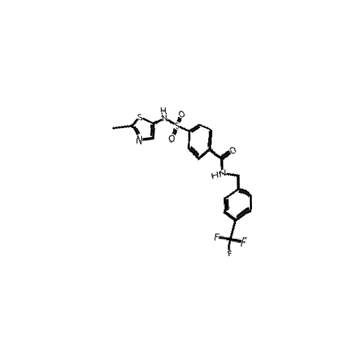 Cc1ncc(NS(=O)(=O)c2ccc(C(=O)NCc3ccc(C(F)(F)F)cc3)cc2)s1